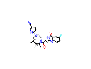 CC1CN(c2ccc(C#N)cn2)CCN(C(=O)CCc2nc3ccc(F)cc3c(=O)[nH]2)C(C)[C@@H]1C